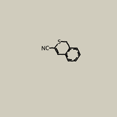 N#CC1=Cc2ccccc2CS1